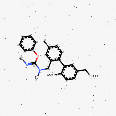 CCOC(=O)Cc1ccc(OC)c(-c2ccc(C)cc2CN(CC)/C(=N/C#N)Oc2ccccc2)c1